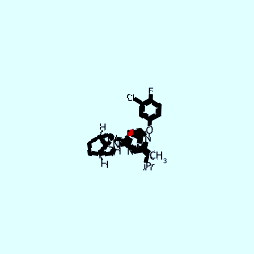 Cc1cc(N2C[C@H]3CC[C@@H](C2)[C@H]3Nc2nc(Oc3ccc(F)c(Cl)c3)n(CC(C)C)n2)ncn1